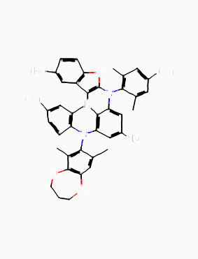 Cc1cc(C(C)(C)C)cc(C)c1N1c2cc(C(C)(C)C)cc3c2B(c2cc(C(C)(C)C)ccc2N3c2c(C)cc3c(c2C)OCCCO3)c2c1oc1ccc(C(C)(C)C)cc21